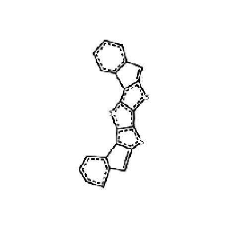 C1=c2sc3c(sc4c5c(sc43)=Cc3ccccc3-5)c2-c2ccccc21